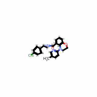 Cc1ccc(N2CCOc3cccc(C(=O)NCCc4ccc(Cl)cc4)c32)nc1